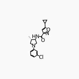 C[C@H]1CN(c2cccc(Cl)c2)C[C@@H]1NC(=O)c1cc(C2CC2)on1